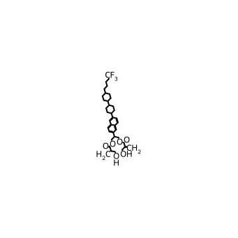 C=C(CO)C(=O)OCC(COC(=O)C(=C)CO)c1ccc2cc(C3CCC(C4CCC(CCCCC(F)(F)F)CC4)CC3)ccc2c1